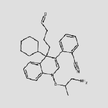 CC(CN)ON1C=C(c2ccccc2C#N)C(CCCC=O)(C2CCCCC2)c2ccccc21